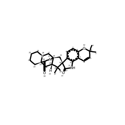 CC1(C)C=Cc2c(ccc3c2NC(=O)[C@@]32C[C@@]34CN5CCCC[C@]5(C[C@H]3C2(C)C)C(=O)N4)O1